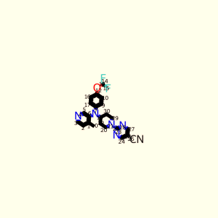 Cc1ccncc1N(c1ccc(OC(F)F)cc1)C1CCN(c2ncc(C#N)cn2)CC1